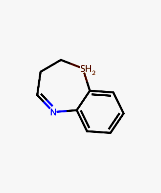 C1=Nc2ccccc2[SH2]CC1